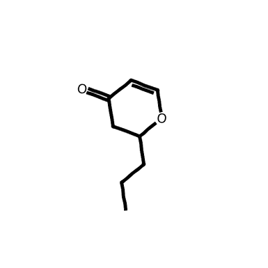 CCCC1CC(=O)C=CO1